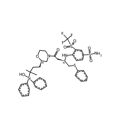 CC(C)(CC[C@@H]1CN(C(=O)C[C@H](CSc2ccccc2)Nc2ccc(S(N)(=O)=O)cc2S(=O)(=O)C(F)(F)F)CCO1)[Si](O)(c1ccccc1)c1ccccc1